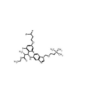 CCOC(=O)C(C)C(Nc1ccc2c(c1)ncn2COCC[Si](C)(C)C)c1c(F)cc(OCCC(F)F)cc1F